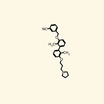 Cc1c(OCCCN2CCCC2)cccc1-c1cccc(OCc2cccc(C#N)c2)c1C